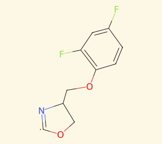 Fc1ccc(OCC2CO[C]=N2)c(F)c1